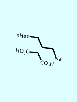 CCCCCCCC[CH2][Na].O=C(O)CC(=O)O